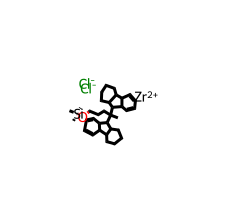 CC(CCCO[Si](C)(C)C)(C1C2C=CC=CC2C2CCCCC21)C1C2C=CC=CC2C2CCCCC21.[Cl-].[Cl-].[Zr+2]